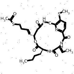 C/C=C1\NC(=O)c2ccc(SC)c(n2)CNC(=O)C[C@@H](/C=C/CCSC(C)=O)OC(=O)[C@H](CCCC)NC1=O